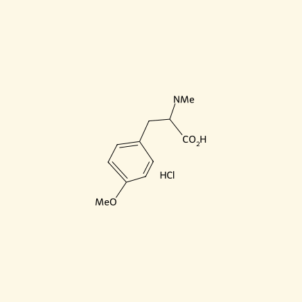 CNC(Cc1ccc(OC)cc1)C(=O)O.Cl